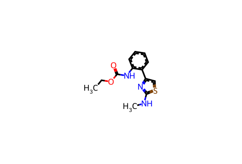 CCOC(=O)Nc1ccccc1-c1csc(NC)n1